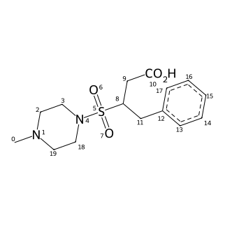 CN1CCN(S(=O)(=O)C(CC(=O)O)Cc2ccccc2)CC1